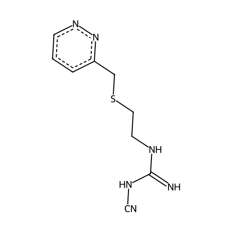 N#CNC(=N)NCCSCc1cccnn1